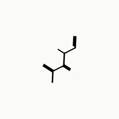 C=C[C](O)C(=O)C(=C)C